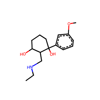 CCNCC1C(O)CCCC1(O)c1cccc(OC)c1